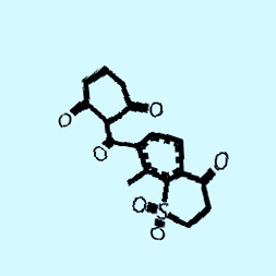 Cc1c(C(=O)C2C(=O)CCCC2=O)ccc2c1S(=O)(=O)CCC2=O